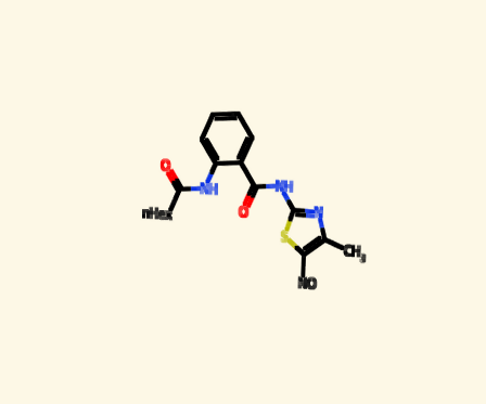 CCCCCCC(=O)Nc1ccccc1C(=O)Nc1nc(C)c(N=O)s1